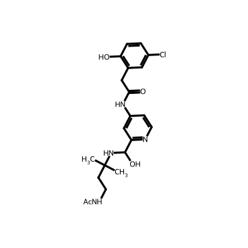 CC(=O)NCCC(C)(C)NC(O)c1cc(NC(=O)Cc2cc(Cl)ccc2O)ccn1